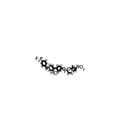 Cl.O=[N+]([O-])c1cn2c(n1)O[C@@H](COc1ccc(C3=CCN(Cc4ccc(C(F)(F)F)cc4)CC3)cc1)CC2